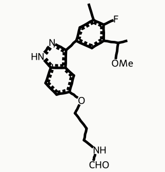 COC(C)c1cc(-c2n[nH]c3ccc(OCCCNC=O)cc23)cc(C)c1F